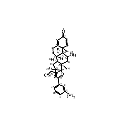 C[C@]12C=CC(=O)C=C1CC[C@H]1[C@@H]3C[C@H]4OC(c5cccc(N)c5)O[C@@]4(C(=O)CCl)[C@@]3(C)C[C@H](O)[C@@]12F